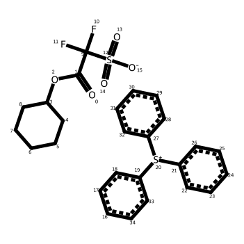 O=C(OC1CCCCC1)C(F)(F)S(=O)(=O)[O-].c1ccc([S+](c2ccccc2)c2ccccc2)cc1